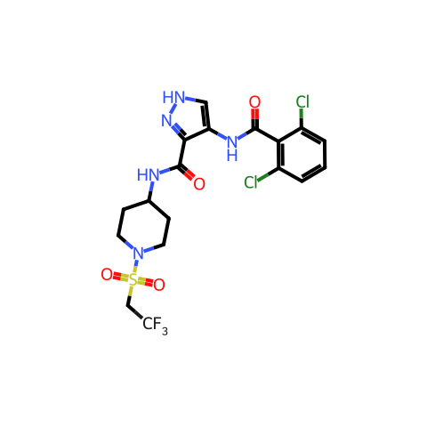 O=C(NC1CCN(S(=O)(=O)CC(F)(F)F)CC1)c1n[nH]cc1NC(=O)c1c(Cl)cccc1Cl